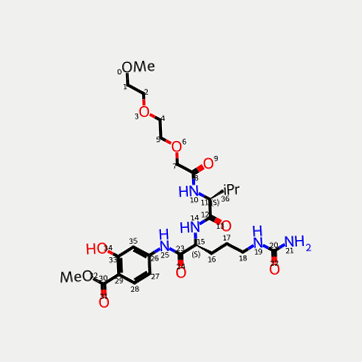 COCCOCCOCC(=O)N[C@H](C(=O)N[C@@H](CCCNC(N)=O)C(=O)Nc1ccc(C(=O)OC)c(O)c1)C(C)C